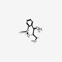 O=[N+]([O-])c1ccccc1C(O)CCO